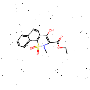 CCOC(=O)C1=C(O)c2ccc3ccccc3c2S(=O)(=O)N1C